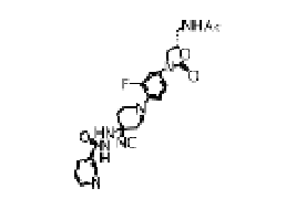 [C-]#[N+]C1(NNC(=O)c2cccnc2)CCN(c2ccc(N3C[C@H](CNC(C)=O)OC3=O)cc2F)CC1